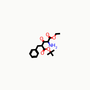 CCOC(=O)C(N)C(=O)C(Cc1ccccc1)C(=O)OC(C)(C)C